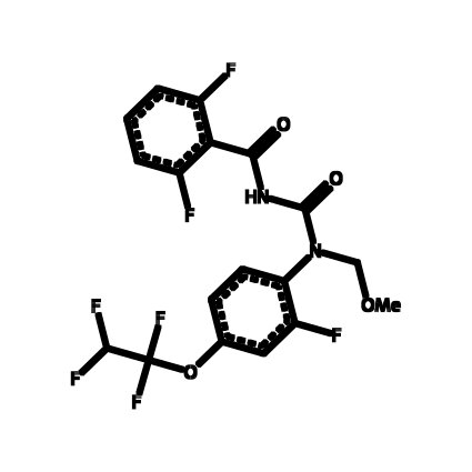 COCN(C(=O)NC(=O)c1c(F)cccc1F)c1ccc(OC(F)(F)C(F)F)cc1F